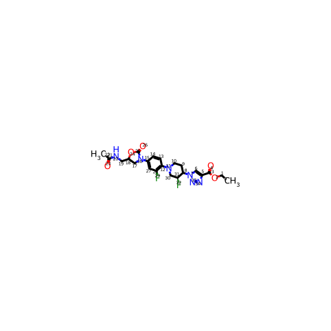 CCOC(=O)c1cn(C2CCN(c3ccc(N4CC(CNC(C)=O)OC4=O)cc3F)C[C@@H]2F)nn1